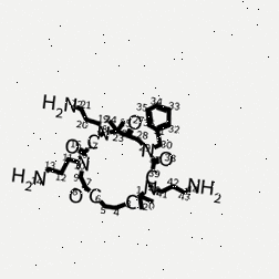 CC1(C)CCCCC(=O)CN(CCCN)C(=O)CN(CCCN)C(C)(C)C(=O)CN(Cc2ccccc2)C(=O)CN1CCCN